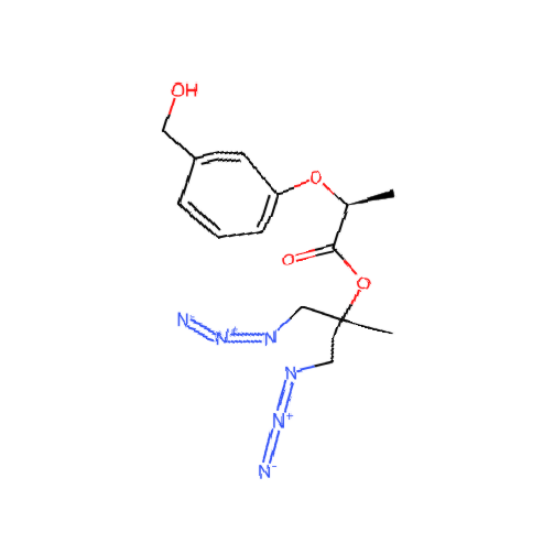 C[C@H](Oc1cccc(CO)c1)C(=O)OC(C)(CN=[N+]=[N-])CN=[N+]=[N-]